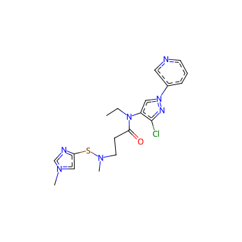 CCN(C(=O)CCN(C)Sc1cn(C)cn1)c1cn(-c2cccnc2)nc1Cl